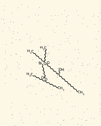 CCCCCCCCC(CCCCCCCC)OC(=O)CCCCCCCBr.CCCCCCCCCCCCCCN(CCO)CCCCCCCC(=O)OC(CCCCCCCC)CCCCCCCC